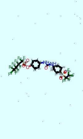 O=C(Nc1ccc(OS(=O)(=O)C(F)(F)C(F)(F)C(F)(F)C(F)(F)F)cc1)Nc1ccc(S(=O)(=O)C(F)(F)C(F)F)cc1